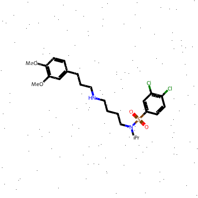 COc1ccc(CCCNCCCCN(C(C)C)S(=O)(=O)c2ccc(Cl)c(Cl)c2)cc1OC